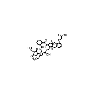 CCCCC[C@H](O)CC[C@@H]1[C@H]2Cc3cccc(OCC(=O)O)c3C[C@H]2C[C@H]1OC(=O)[C@@H]1CCCC[C@@H]1C(=O)NCSC1CC(=O)N(CC)C1=O